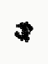 CCC(C)[C@H](C(=O)O)c1c(C)n(C(=O)c2ccc(OC(F)(F)F)cc2)c2cc(Cl)c(OC)cc12.COc1cc2c(C(C(=O)O)C(C)C)c(C)n(C(=O)c3ccc(OC(F)(F)F)cc3)c2cc1Cl